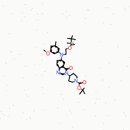 COc1cc(C)cc(N(CCO[Si](C)(C)C(C)(C)C)c2ccc3ncn(C4CCN(C(=O)OC(C)(C)C)CC4)c(=O)c3c2)c1